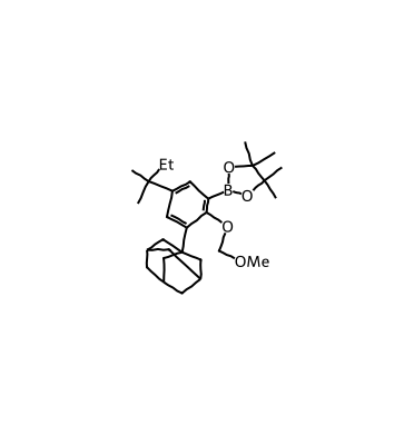 CCC(C)(C)c1cc(B2OC(C)(C)C(C)(C)O2)c(OCOC)c(C23CC4CC(CC(C4)C2)C3)c1